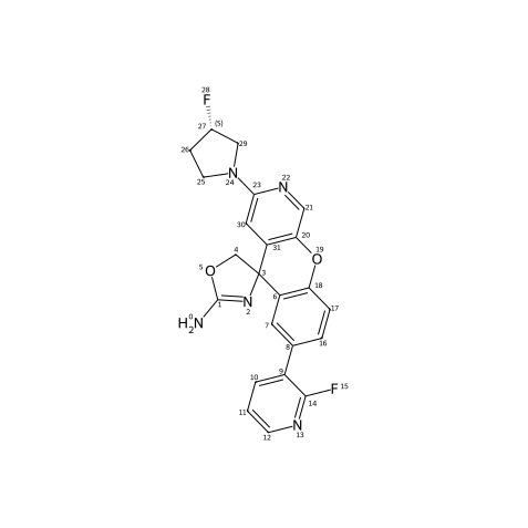 NC1=NC2(CO1)c1cc(-c3cccnc3F)ccc1Oc1cnc(N3CC[C@H](F)C3)cc12